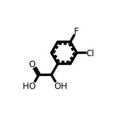 O=C(O)C(O)c1ccc(F)c(Cl)c1